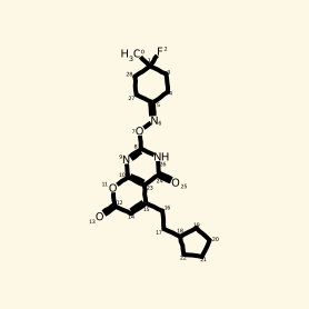 CC1(F)CCC(=NOc2nc3oc(=O)cc(CCC4CCCC4)c3c(=O)[nH]2)CC1